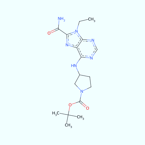 CCn1c(C(N)=O)nc2c(NC3CCN(C(=O)OC(C)(C)C)C3)ncnc21